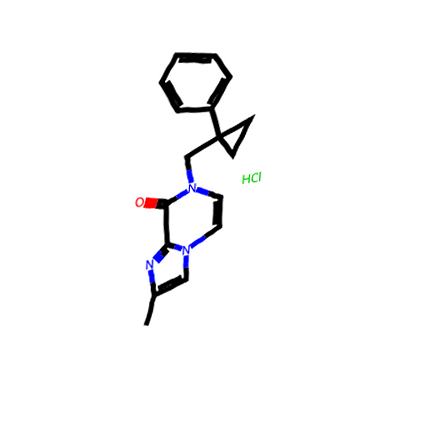 Cc1cn2ccn(CC3(c4ccccc4)CC3)c(=O)c2n1.Cl